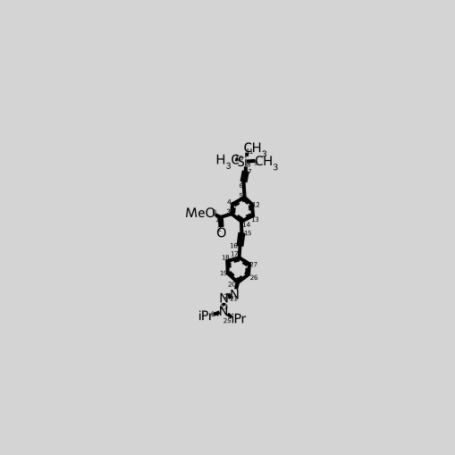 COC(=O)c1cc(C#C[Si](C)(C)C)ccc1C#Cc1ccc(N=NN(C(C)C)C(C)C)cc1